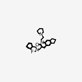 CN(Cc1ccccc1F)Cc1cc2cc3c(cc2n(CCN2CCCCC2)c1=O)CCC3